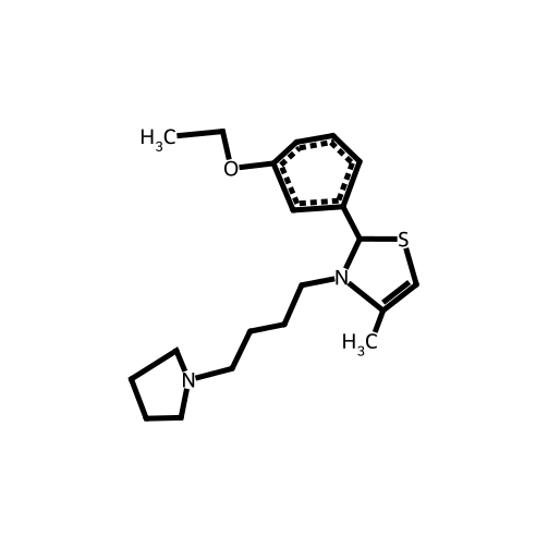 CCOc1cccc(C2SC=C(C)N2CCCCN2CCCC2)c1